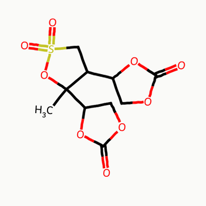 CC1(C2COC(=O)O2)OS(=O)(=O)CC1C1COC(=O)O1